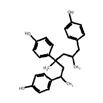 CC(Cc1ccc(O)cc1)CC(C)(CC(C)c1ccc(O)cc1)c1ccc(O)cc1